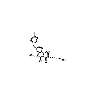 CC(C)Cn1c(=O)c(C(=O)NCCCCO)c(O)c2ncc(Cc3ccc(F)cc3)cc21